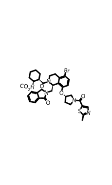 Cc1ncc(C(=O)N2CC[C@H](Oc3ccc(Br)c4c3[C@@H](CN3Cc5ccccc5C3=O)N(C(=O)[C@@H]3CCCC[C@@H]3C(=O)O)CC4)C2)s1